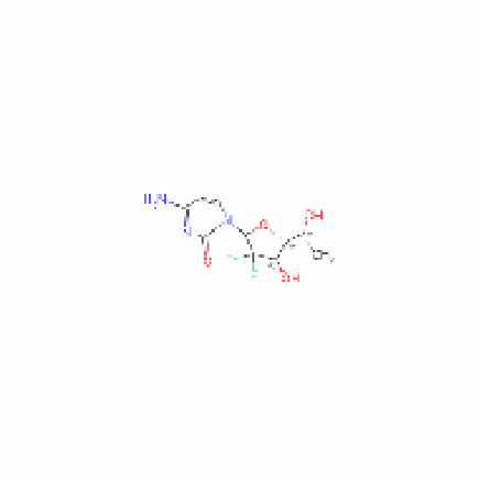 C[C@@H](O)[C@H]1OC(n2ccc(N)nc2=O)C(F)(F)[C@@H]1O